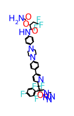 NC(=O)OC(CC(F)(F)F)C(=O)Nc1ccc(N2CCN(c3ccc(-c4ccc(C(F)(F)[C@](O)(Cn5cnnn5)c5ccc(F)cc5F)nc4)cc3)CC2)cc1